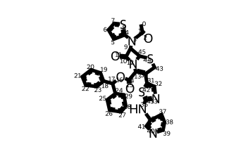 CC(=O)N(c1cccs1)C1C(=O)N2C(C(=O)OC(c3ccccc3)c3ccccc3)=C(c3cnc(Nc4cccnc4)s3)CSC12